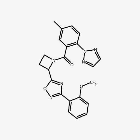 Cc1ccc(-n2nccn2)c(C(=O)N2CCC2c2nc(-c3ccccc3OC(F)(F)F)no2)c1